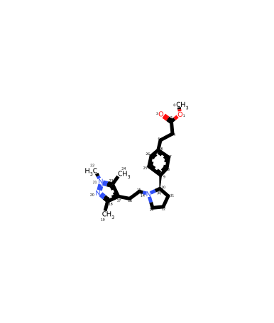 COC(=O)CCc1ccc([C@H]2CCCN2CCc2c(C)nn(C)c2C)cc1